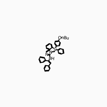 CCCCOc1ccc([Si](Cn2ccnc2BC(=Cc2ccccc2)c2ccccc2)(c2ccccc2)c2ccccc2)cc1